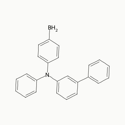 Bc1ccc(N(c2ccccc2)c2cccc(-c3ccccc3)c2)cc1